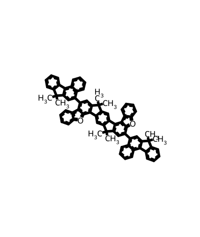 CC1(C)c2ccccc2-c2c1cc(-c1cc3c(c4c1oc1ccccc14)-c1cc4c(cc1C3(C)C)-c1c(cc(-c3cc5c(c6ccccc36)-c3ccccc3C5(C)C)c3c1oc1ccccc13)C4(C)C)c1ccccc21